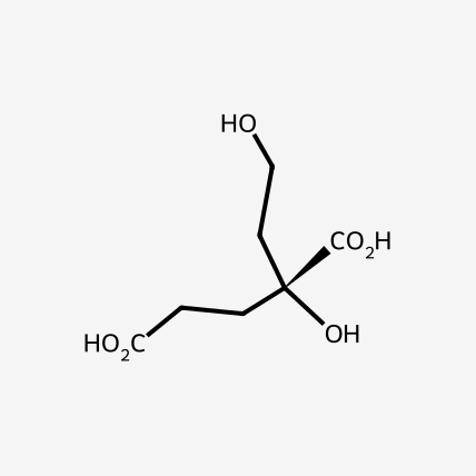 O=C(O)CC[C@@](O)(CCO)C(=O)O